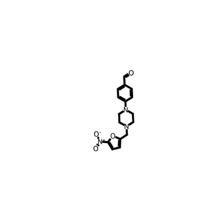 O=Cc1ccc(N2CCN(Cc3ccc([N+](=O)[O-])o3)CC2)cc1